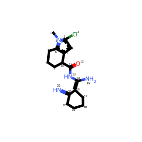 Cn1c(Cl)cc2c1CCCC2C(=O)N/C(N)=C1/CCCCC1=N